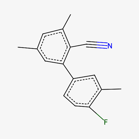 Cc1cc(C)c(C#N)c(-c2ccc(F)c(C)c2)c1